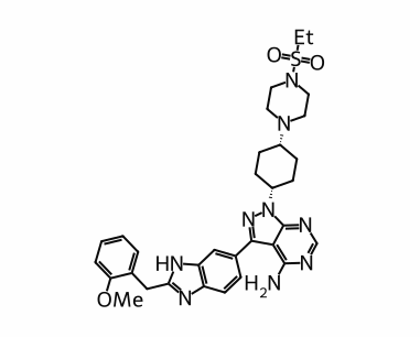 CCS(=O)(=O)N1CCN([C@H]2CC[C@@H](n3nc(-c4ccc5nc(Cc6ccccc6OC)[nH]c5c4)c4c(N)ncnc43)CC2)CC1